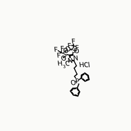 Cl.Cn1c(CCCCP(=O)(Cc2ccccc2)c2ccccc2)nc(S(=O)(=O)C(F)(F)F)c1S(=O)(=O)C(F)(F)F